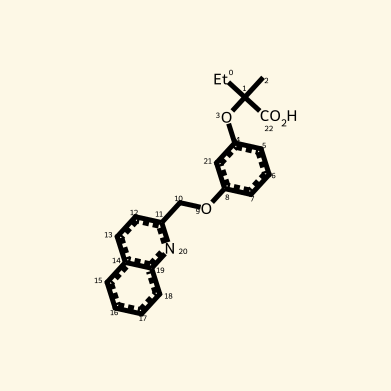 CCC(C)(Oc1cccc(OCc2ccc3ccccc3n2)c1)C(=O)O